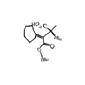 CCCCOC(=O)C(=C1CCCC1)C(C)(CCCC)C(=O)O